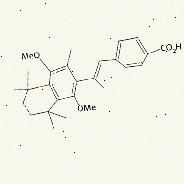 COc1c(C)c(C(C)=Cc2ccc(C(=O)O)cc2)c(OC)c2c1C(C)(C)CCC2(C)C